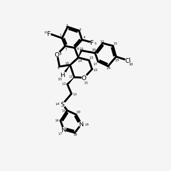 Fc1ccc(F)c2c1OC[C@H]1[C@H](CCSc3cncnc3)OCC[C@@]21Cc1ccc(Cl)cc1